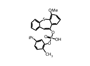 COc1cccc2c1Sc1ccccc1C=C2OP(=O)(O)Oc1cc(C(C)C)ccc1C